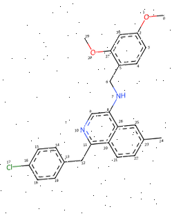 COc1ccc(CNc2cnc(Cc3ccc(Cl)cc3)c3ccc(C)cc23)c(OC)c1